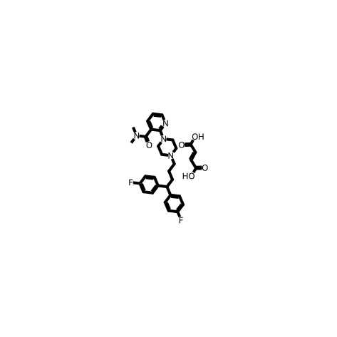 CN(C)C(=O)c1cccnc1N1CCN(CCCC(c2ccc(F)cc2)c2ccc(F)cc2)CC1.O=C(O)/C=C/C(=O)O